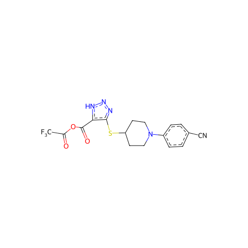 N#Cc1ccc(N2CCC(Sc3nn[nH]c3C(=O)OC(=O)C(F)(F)F)CC2)cc1